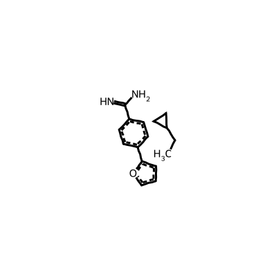 CCC1CC1.N=C(N)c1ccc(-c2ccco2)cc1